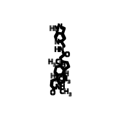 CN1C(=O)C=C[C@]2(C)[C@H]3CC[C@]4(C)[C@@H](CC(=O)NCc5cc6cn[nH]c6cn5)CC[C@H]4[C@@H]3CC[C@@H]12